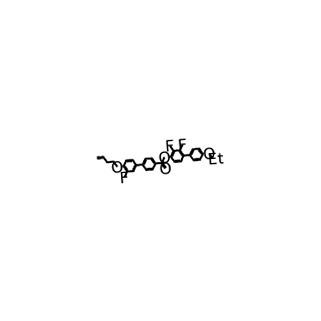 C=CCCOc1ccc(-c2ccc(C(=O)Oc3ccc(-c4ccc(OCC)cc4)c(F)c3F)cc2)cc1F